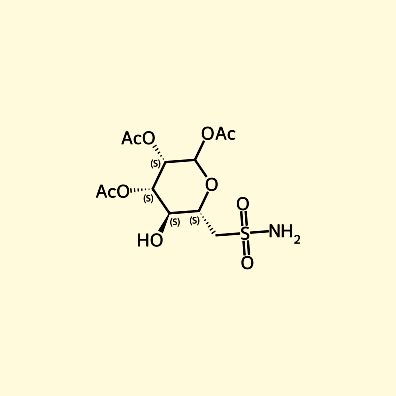 CC(=O)OC1O[C@H](CS(N)(=O)=O)[C@@H](O)[C@H](OC(C)=O)[C@@H]1OC(C)=O